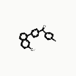 O=C(c1ccc(F)cc1)c1ccc(-c2cccc3ccc(O)cc23)cc1